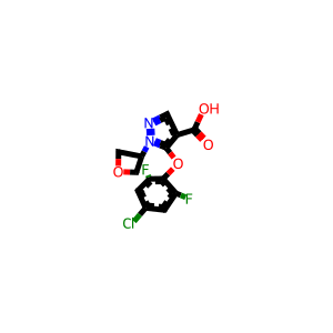 O=C(O)c1cnn(C2COC2)c1Oc1c(F)cc(Cl)cc1F